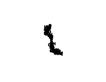 CNc1c(C(=O)NC2CC2)cnc2cc(OC)c(-c3ccc(C(=O)NCCCCn4cc(CNc5cccc6c5C(=O)N(C5CCC(=O)NC5=O)C6=O)nn4)nc3)cc12